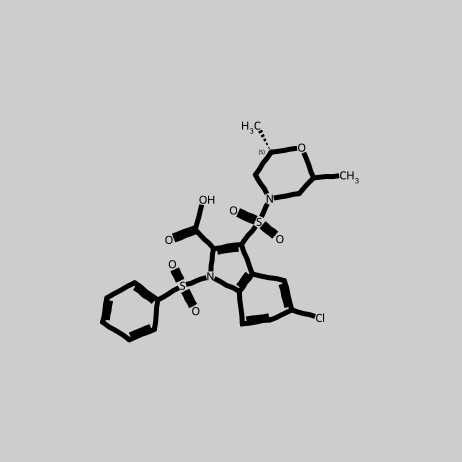 CC1CN(S(=O)(=O)c2c(C(=O)O)n(S(=O)(=O)c3ccccc3)c3ccc(Cl)cc23)C[C@H](C)O1